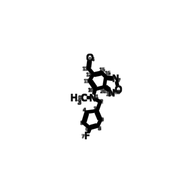 CN(Cc1ccc(F)cc1)c1cc(C=O)cc2nonc12